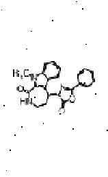 Cn1c2c(c3ccccc31)C(=C1N=C(c3ccccc3)OC1=O)CCNC2=O